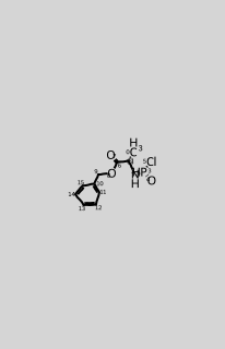 C[C@H](N[PH](=O)Cl)C(=O)OCc1ccccc1